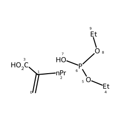 C=C(CCC)C(=O)O.CCOP(O)OCC